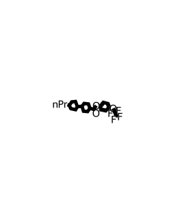 CCCC1CCC(C2CCC(C(=O)Oc3ccc(OC(F)(F)C(F)F)cc3)CC2)CC1